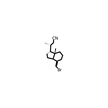 C[C@H](CC#N)[C@H]1CCC2C(=CBr)CCC[C@]21C